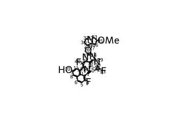 C#Cc1c(F)ccc2cc(O)cc(-c3ncc4c(N(C)[C@@H]5C[C@H]5F)nc(OC[C@@]56CCCN5C[C@H](OC)C6)nc4c3F)c12